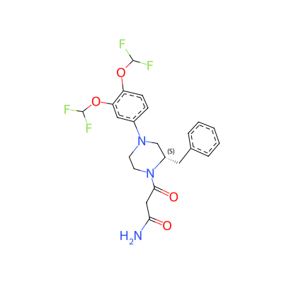 NC(=O)CC(=O)N1CCN(c2ccc(OC(F)F)c(OC(F)F)c2)C[C@@H]1Cc1ccccc1